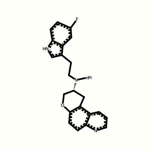 CCCN(CCc1c[nH]c2ccc(F)cc12)[C@H]1COc2ccc3ncccc3c2C1